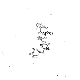 C=Cc1ccc(=O)n(CC(=O)c2cnc(Cc3ccccc3)s2)c1